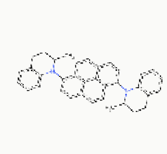 CC1CCc2ccccc2N1c1ccc2ccc3c(N4c5ccccc5CCC4C)ccc4ccc1c2c43